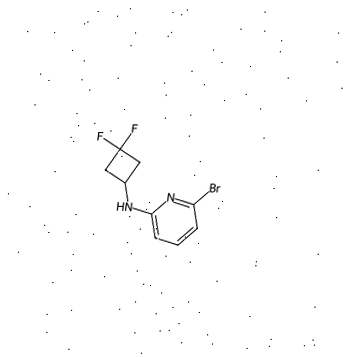 FC1(F)CC(Nc2cccc(Br)n2)C1